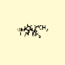 C/C=C\N=C(\N)C1=CCC(C(C)(C)C)N1N